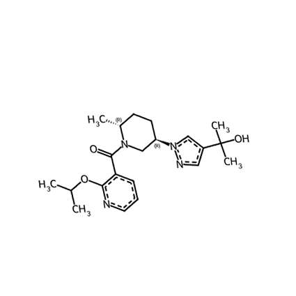 CC(C)Oc1ncccc1C(=O)N1C[C@H](n2cc(C(C)(C)O)cn2)CC[C@H]1C